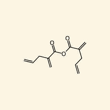 C=CCC(=C)C(=O)OC(=O)C(=C)CC=C